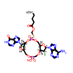 CCCCCCCCCCCCCC(=O)OCSP1(=O)OC[C@H]2O[C@@H](n3cnc4c(N)ncnc43)[C@H](F)[C@@H]2OCP(=O)(O)OC[C@H]2O[C@@H](n3cnc4c(=O)[nH]cnc43)[C@H](O1)[C@@H]2F